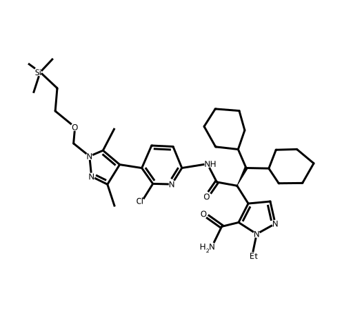 CCn1ncc([C@@H](C(=O)Nc2ccc(-c3c(C)nn(COCC[Si](C)(C)C)c3C)c(Cl)n2)C(C2CCCCC2)C2CCCCC2)c1C(N)=O